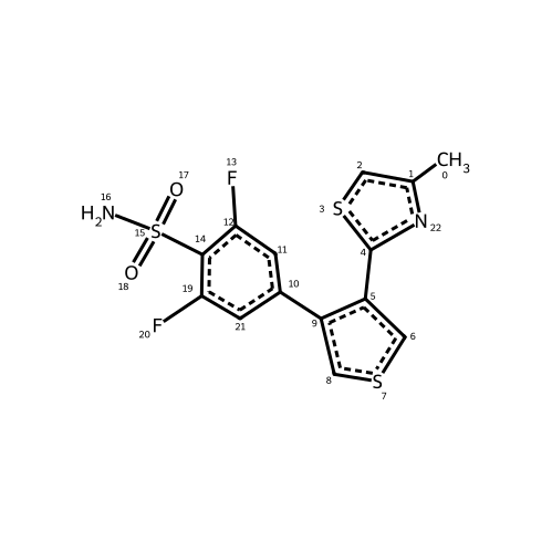 Cc1csc(-c2cscc2-c2cc(F)c(S(N)(=O)=O)c(F)c2)n1